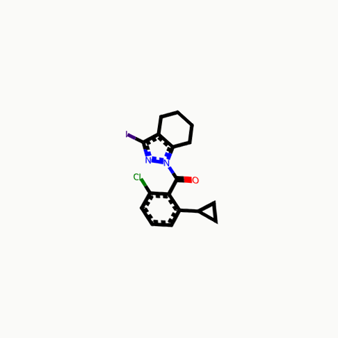 O=C(c1c(Cl)cccc1C1CC1)n1nc(I)c2c1CCCC2